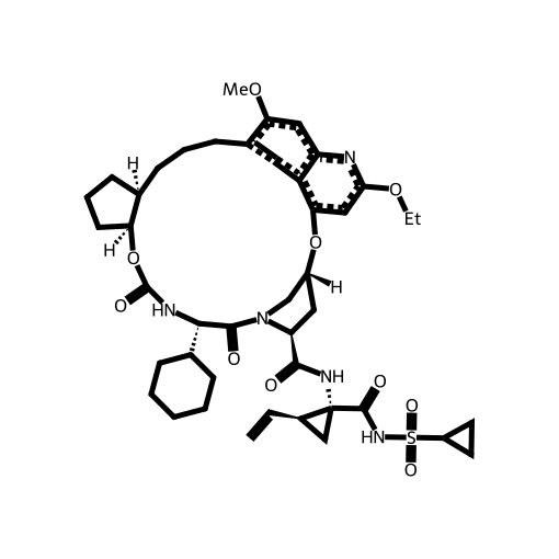 C=C[C@@H]1C[C@]1(NC(=O)[C@@H]1C[C@@H]2CN1C(=O)[C@H](C1CCCCC1)NC(=O)O[C@H]1CCC[C@H]1CCCc1cc3c(cc(OCC)nc3cc1OC)O2)C(=O)NS(=O)(=O)C1CC1